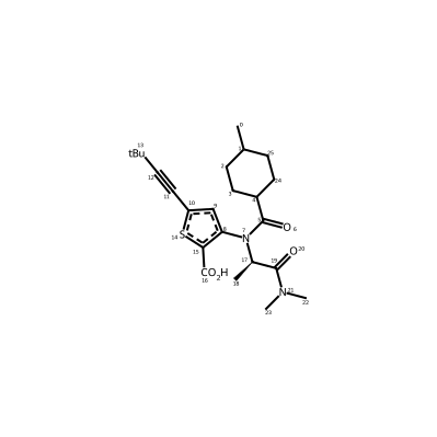 CC1CCC(C(=O)N(c2cc(C#CC(C)(C)C)sc2C(=O)O)[C@H](C)C(=O)N(C)C)CC1